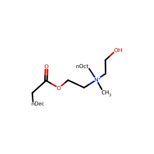 CCCCCCCCCCCC(=O)OCC[N+](C)(CCO)CCCCCCCC